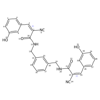 [C-]#[N+]/C(=C/c1cccc(O)c1)C(=O)NCc1cccc(CNC(=O)/C(C#N)=C\c2cccc(O)c2)c1